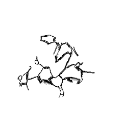 COc1cc2c(cc1-c1c(C)noc1C)[nH]c1nc(C)nc(-c3cn(-c4ccccc4)cn3)c12